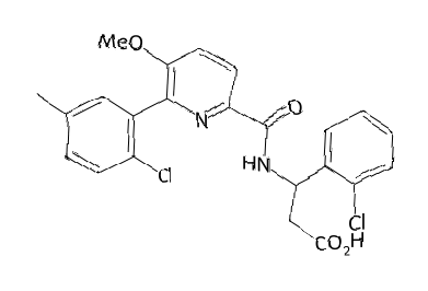 COc1ccc(C(=O)NC(CC(=O)O)c2ccccc2Cl)nc1-c1cc(C)ccc1Cl